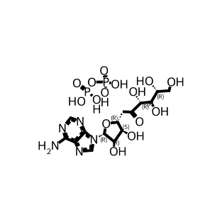 Nc1ncnc2c1ncn2[C@@H]1O[C@H](CC(=O)[C@H](O)[C@H](O)[C@H](O)CO)[C@@H](O)[C@H]1O.O=P(O)(O)OP(=O)(O)O